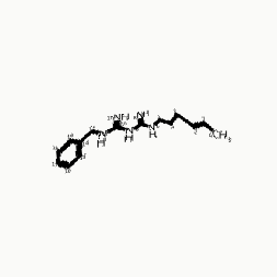 CCCCCCNC(=N)NC(=N)NCc1ccccc1